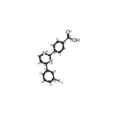 O=C(O)c1ccc(-c2nccc(-c3cccc(F)c3)n2)cc1